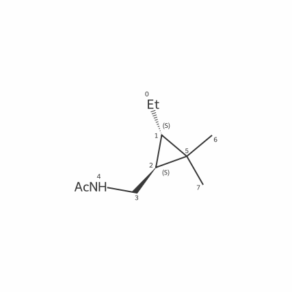 CC[C@H]1[C@H](CNC(C)=O)C1(C)C